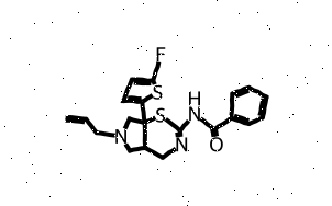 C=CCN1CC2CN=C(NC(=O)c3ccccc3)SC2(c2ccc(F)s2)C1